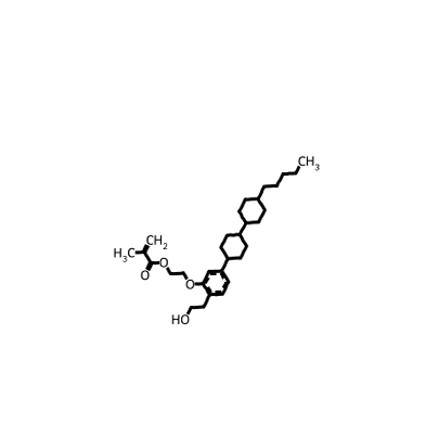 C=C(C)C(=O)OCCOc1cc(C2CCC(C3CCC(CCCCC)CC3)CC2)ccc1CCO